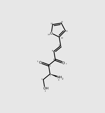 N[C@@H](CO)C(=O)C(=O)C=Cc1ccco1